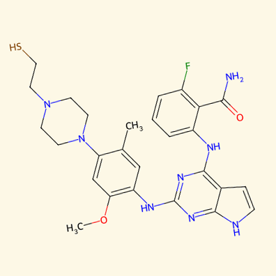 COc1cc(N2CCN(CCS)CC2)c(C)cc1Nc1nc(Nc2cccc(F)c2C(N)=O)c2cc[nH]c2n1